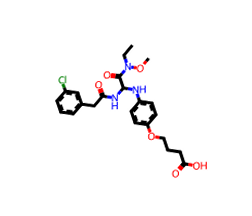 CCN(OC)C(=O)C(NC(=O)Cc1cccc(Cl)c1)Nc1ccc(OCCCC(=O)O)cc1